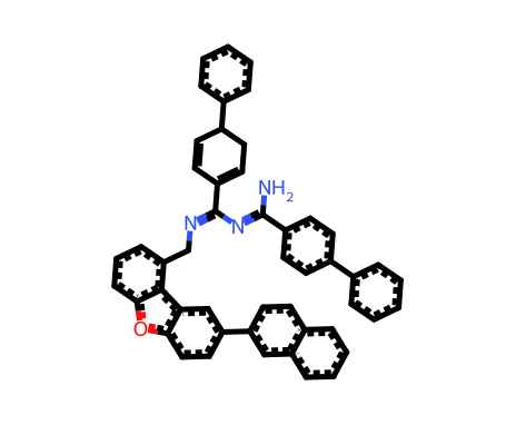 N/C(=N\C(=N/Cc1cccc2oc3ccc(-c4ccc5ccccc5c4)cc3c12)C1=CCC(c2ccccc2)C=C1)c1ccc(-c2ccccc2)cc1